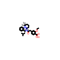 [2H]C1([2H])CCCC([2H])([2H])N1c1ccccc1[C@H](CC(C)C)NC(=O)Cc1ccc(C(=O)O)c(OCC)c1